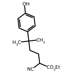 CCOC(=O)C(C#N)CCC(C)(C)c1ccc(O)cc1